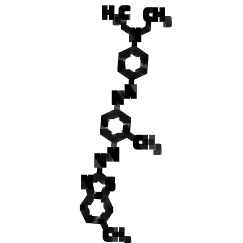 CCN(CC)c1ccc(N=Nc2ccc(N=Nc3nc4ccc(C)cc4s3)c(C)c2)cc1